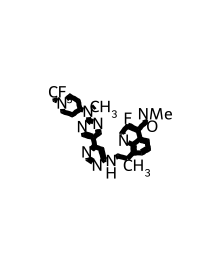 CNC(=O)c1c(F)cnc2c(C(C)CNc3cc(-c4cnc(N(C)C5CCN(CC(F)(F)F)CC5)nc4)ncn3)cccc12